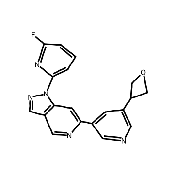 Fc1cccc(-n2ncc3cnc(-c4cncc(C5COC5)c4)cc32)n1